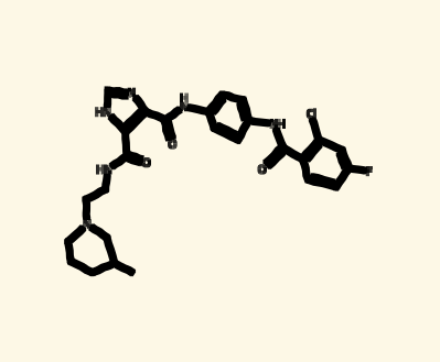 CC1CCCN(CCNC(=O)c2[nH]cnc2C(=O)Nc2ccc(NC(=O)c3ccc(F)cc3Cl)cc2)C1